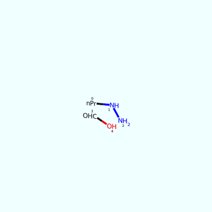 CCCNN.O=CO